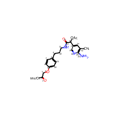 COC(=O)COc1ccc(CCCNC(=O)C(OC(C)=O)c2cnc(N)c(C#N)c2)cc1